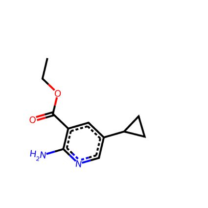 CCOC(=O)c1cc(C2CC2)cnc1N